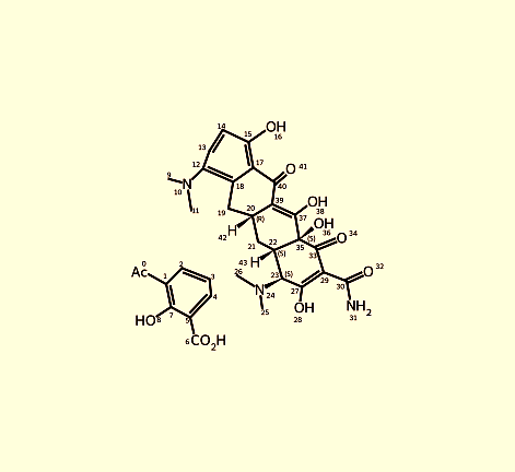 CC(=O)c1cccc(C(=O)O)c1O.CN(C)c1ccc(O)c2c1C[C@H]1C[C@H]3[C@H](N(C)C)C(O)=C(C(N)=O)C(=O)[C@@]3(O)C(O)=C1C2=O